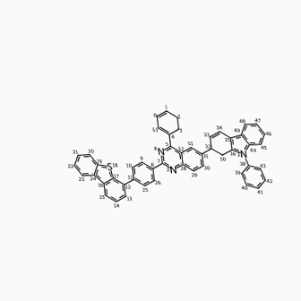 C1=CCCC(c2nc(-c3ccc(-c4cccc5c4sc4ccccc45)cc3)nc3ccc(C4C=Cc5c(n(-c6ccccc6)c6ccccc56)C4)cc23)=C1